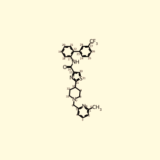 Cc1cccc(CN2CCC(c3nc(C(=O)Nc4ccccc4-c4cccc(C(F)(F)F)c4)cs3)CC2)n1